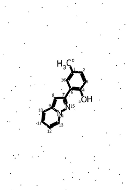 Cc1ccc(O)c(-c2cc3ccccn3n2)c1